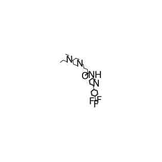 CCCN(CC)C1CCN(CCCC(=O)Nc2ccc(-c3ccc(C(F)(F)F)cc3)nc2)CC1